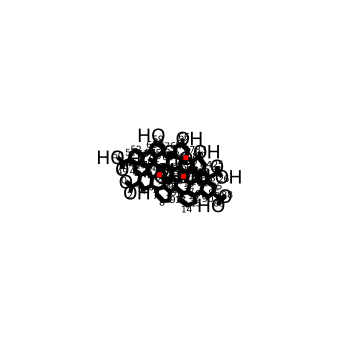 O=C(O)C1=CC2C3C=CCC4C5=C6C=CCC7=C6C6(O)c8c9c(c(C(=O)O)c%10c8=C8C%11(O)C6C5(O)C56OC5(C43)C3(O)C2(O)C2C1=CC1=C(C(=O)O)CC=C4C5=C%12C(C=C(O)C5)C5%13OC5%14CC(O)=CC5(OC5%14C%11C6C%13C3(O)C%12(O)C2=C41)C8(O)C(O)=C%10)=CC(C(=O)O)C=C79